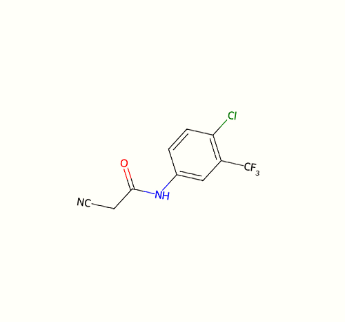 N#CCC(=O)Nc1ccc(Cl)c(C(F)(F)F)c1